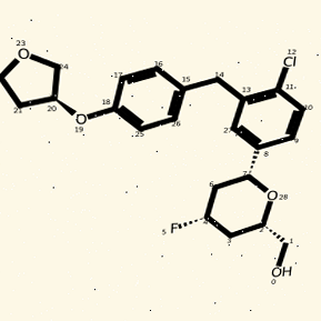 OC[C@@H]1C[C@H](F)C[C@H](c2ccc(Cl)c(Cc3ccc(O[C@H]4CCOC4)cc3)c2)O1